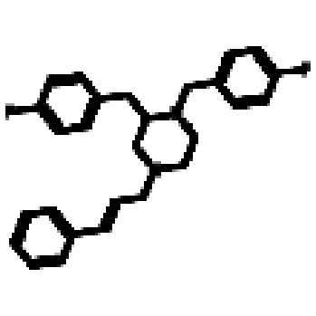 Fc1ccc(CC2CN(CC=Cc3ccccc3)CCN2Cc2ccc(F)cc2)cc1